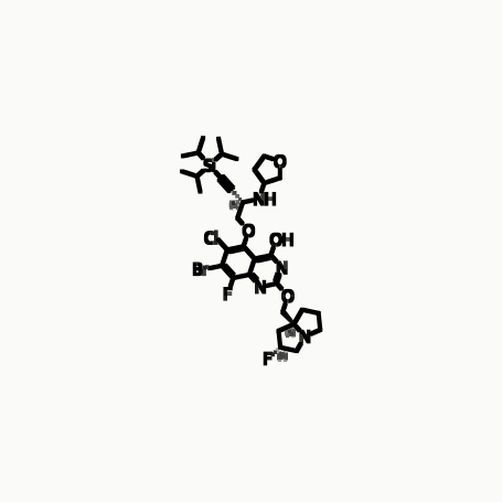 CC(C)[Si](C#C[C@@H](COc1c(Cl)c(Br)c(F)c2nc(OC[C@@]34CCCN3C[C@H](F)C4)nc(O)c12)NC1CCOC1)(C(C)C)C(C)C